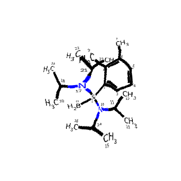 B[Si](c1cccc(C)c1C)(N(C(C)C)C(C)C)N(C(C)C)C(C)C